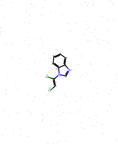 Cl/C=C(\Cl)n1cnc2ccccc21